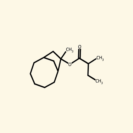 CCC(C)C(=O)OC1(C)CC2CCCCCC1C2